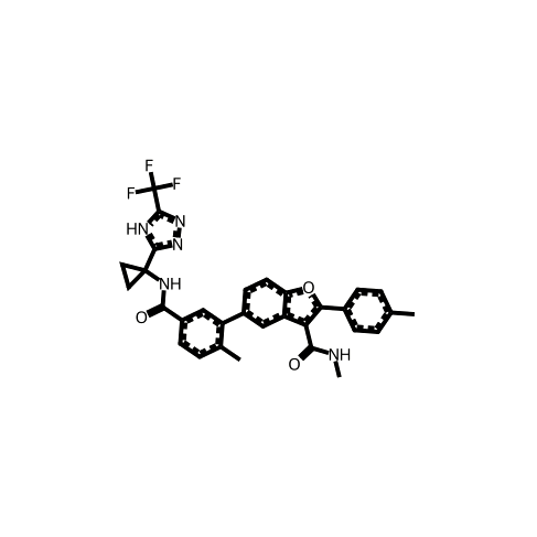 CNC(=O)c1c(-c2ccc(C)cc2)oc2ccc(-c3cc(C(=O)NC4(c5nnc(C(F)(F)F)[nH]5)CC4)ccc3C)cc12